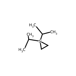 CC(C)[Si]1(C(C)C)CC1